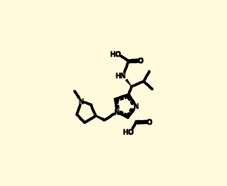 CC(C)[C@@H](NC(=O)O)c1cn(C[C@H]2CCN(C)C2)cn1.O=CO